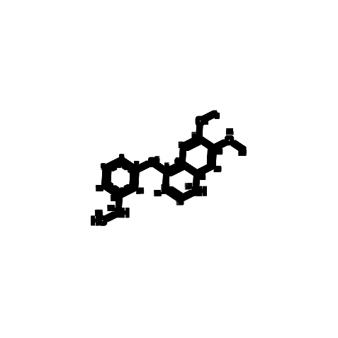 COC1=CC2=C(Sc3cccc(NO)c3)N=CNC2C=C1OC